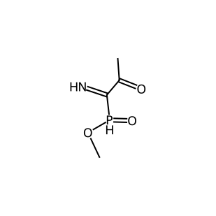 CO[PH](=O)C(=N)C(C)=O